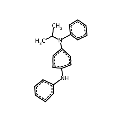 CC(C)N(c1ccccc1)c1ccc(Nc2ccccc2)cc1